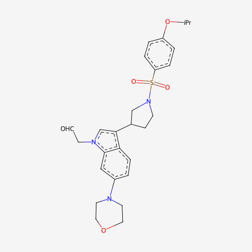 CC(C)Oc1ccc(S(=O)(=O)N2CCC(c3cn(CC=O)c4cc(N5CCOCC5)ccc34)C2)cc1